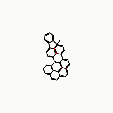 CC1(C)c2ccccc2-c2ccc(N(C3=c4c(ccc5ccccc45)=CCC3)c3ccccc3-c3ccccc3)cc21